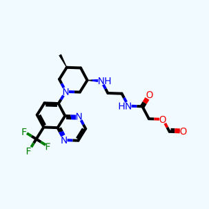 C[C@H]1C[C@@H](NCCNC(=O)COC=O)CN(c2ccc(C(F)(F)F)c3nccnc23)C1